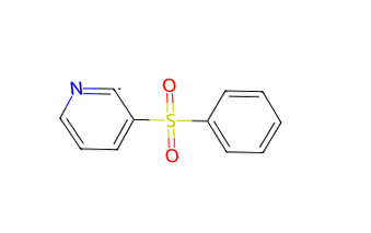 O=S(=O)(c1[c]nccc1)c1ccccc1